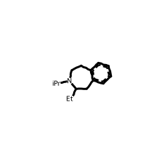 CCC1Cc2ccccc2CCN1C(C)C